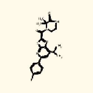 CC(C)c1cc(-c2ccc(F)cc2)nc2sc(C(=O)N3CCNC(=O)C3(C)C)nc12